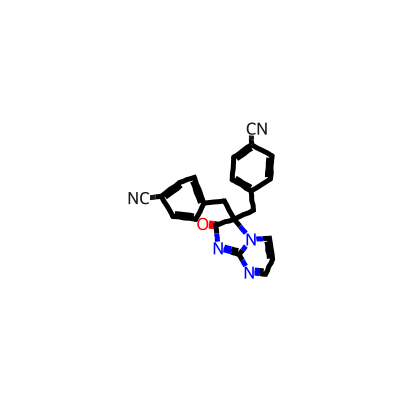 N#Cc1ccc(CC2(Cc3ccc(C#N)cc3)C(=O)N=C3N=CC=CN32)cc1